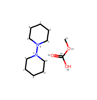 C1CCN(N2CCCCC2)CC1.COC(=O)O